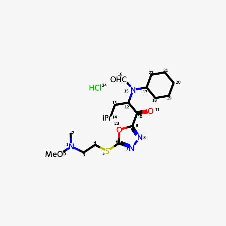 CON(C)CCSc1nnc(C(=O)C(CC(C)C)N(C=O)C2CCCCC2)o1.Cl